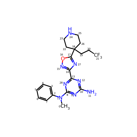 CN(c1ccccc1)c1nc(N)nc(-c2noc(C3(CCC(F)(F)F)CCNCC3)n2)n1